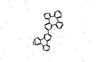 c1ccc2c(c1)-c1ccccc1-c1ccc(-c3ccc4c5ccccc5c5cnccc5c4c3)cc1-c1ccccc1-2